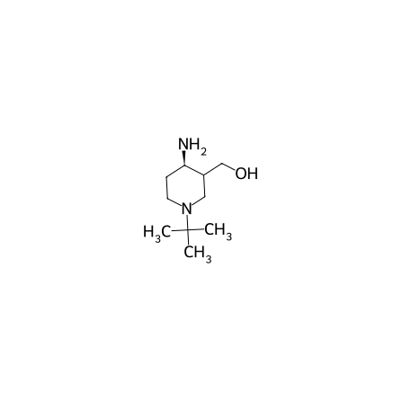 CC(C)(C)N1CC[C@@H](N)C(CO)C1